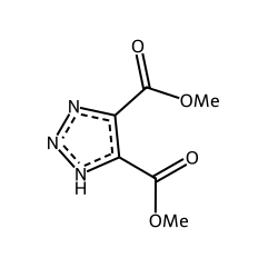 COC(=O)c1nn[nH]c1C(=O)OC